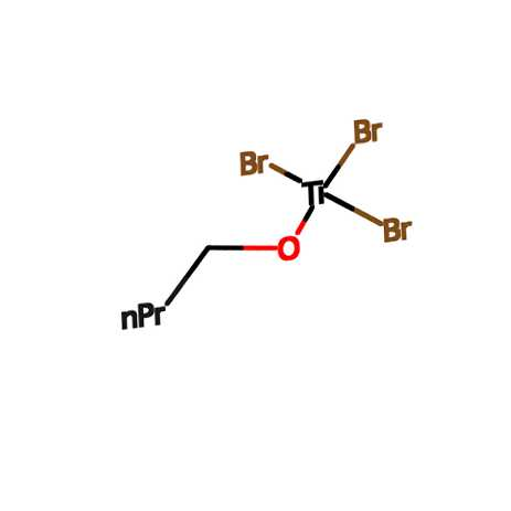 CCCC[O][Ti]([Br])([Br])[Br]